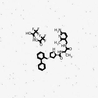 Cc1nc(N)ccc1CNC(=O)[C@H](C)NC(=O)[C@H]1C[C@H](Cc2ccccc2-c2ccccc2)CN1.O=C(O)C(F)(F)F.O=C(O)C(F)(F)F